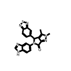 Cc1c2c(nn1C)C(=O)N(c1ccc3[nH]cnc3c1)C2c1ccc2nsnc2c1